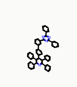 c1ccc(-c2nc(-c3ccccc3)nc(-c3cccc(-c4ccc(-c5c(-c6ccccc6)c(-c6ccccc6)nc(-c6ccccc6)c5-c5ccccc5)cc4)c3)n2)cc1